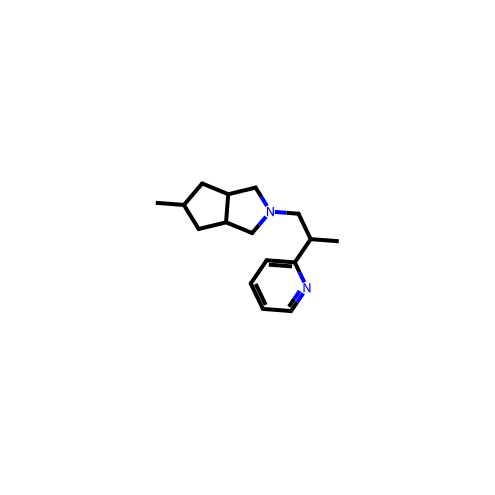 CC1CC2CN(CC(C)c3ccccn3)CC2C1